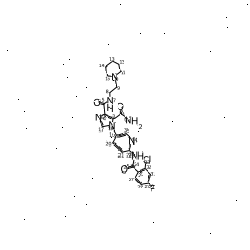 NC(=O)c1c(C(=O)NCCN2CCCCC2)ncn1-c1ccc(NC(=O)c2ccc(F)cc2Cl)nc1